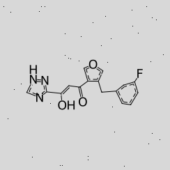 O=C(C=C(O)c1nc[nH]n1)c1cocc1Cc1cccc(F)c1